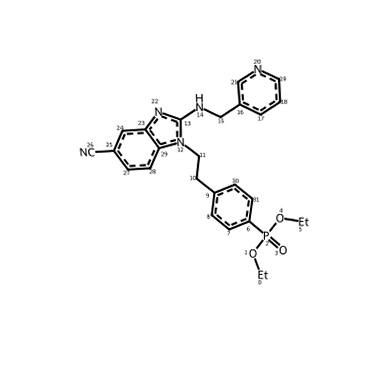 CCOP(=O)(OCC)c1ccc(CCn2c(NCc3cccnc3)nc3cc(C#N)ccc32)cc1